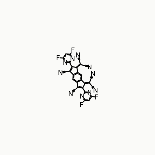 N#CC(C#N)=C1C(c2nc(F)cc(F)n2)=C(C#N)c2cc3c(cc21)C(=C(C#N)C#N)C(c1nc(F)cc(F)n1)=C3C#N